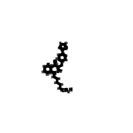 CC(C)N(Cc1ccc(-c2ccco2)cc1)C(=O)c1ccccc1OCCCCCC(=O)O